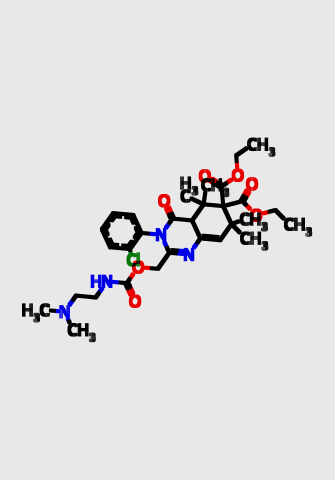 CCOC(=O)C1(C(=O)OCC)C(C)(C)C=C2N=C(COC(=O)NCCN(C)C)N(c3ccccc3Cl)C(=O)C2C1(C)C